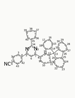 N#Cc1ccc(-c2cc(-c3cccc(C4(c5ccccc5)c5ccccc5-c5ccccc54)c3)nc(-c3ccccc3)n2)cc1